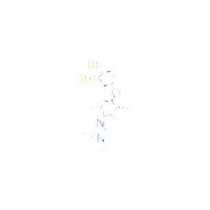 Cc1cc(Oc2ccc(Br)c(Br)c2)c(C)cc1/N=C/N(C)C1CC1